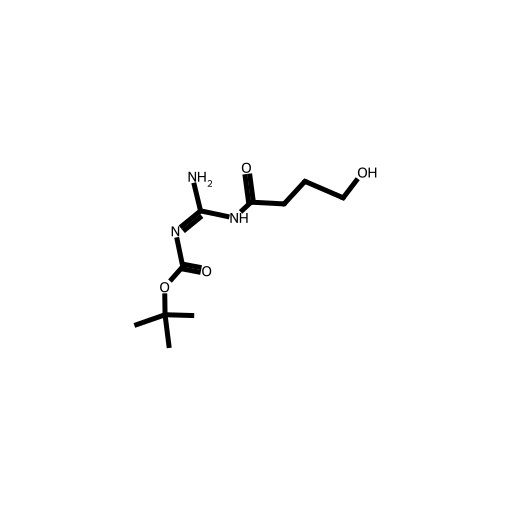 CC(C)(C)OC(=O)N=C(N)NC(=O)CCCO